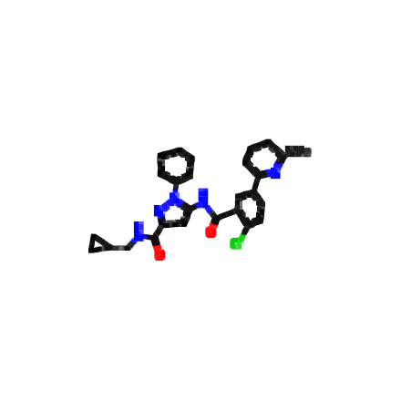 CNc1cccc(-c2ccc(Cl)c(C(=O)Nc3cc(C(=O)NCC4CC4)nn3-c3ccccc3)c2)n1